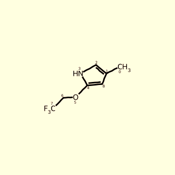 Cc1c[nH]c(OCC(F)(F)F)c1